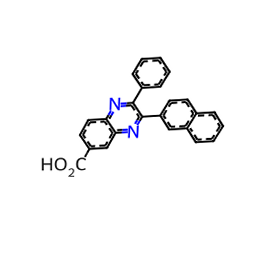 O=C(O)c1ccc2nc(-c3ccccc3)c(-c3ccc4ccccc4c3)nc2c1